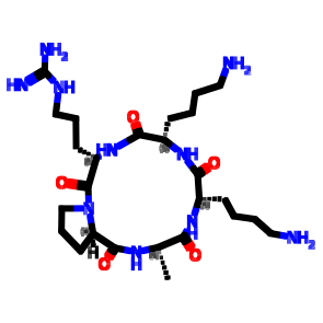 C[C@@H]1NC(=O)[C@H]2CCCN2C(=O)[C@H](CCCNC(=N)N)NC(=O)[C@H](CCCCN)NC(=O)[C@H](CCCCN)NC1=O